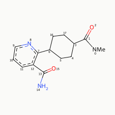 CNC(=O)C1CCC(c2ncccc2C(N)=O)CC1